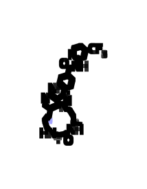 C[C@@H]1CCn2nc(-c3ccc(C(=O)Nc4cc(C(F)(F)F)ccn4)cc3)c3c(N)ncc(c32)/C=C/CN[C@@H](C)C(=O)N1